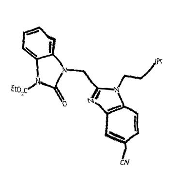 CCOC(=O)n1c(=O)n(Cc2nc3cc(C#N)ccc3n2CCC(C)C)c2ccccc21